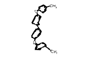 Cc1ccc(Oc2ccc(-c3ccc(Oc4ccc(C)cc4)cc3)cc2)cc1